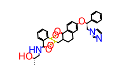 C[C@H](O)CNC(=O)c1ccccc1S(=O)(=O)CC1CCc2cc(O[C@H](Cn3ccnc3)c3ccccc3)ccc2C1=O